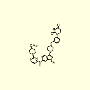 COC1CCN(c2nccc(Nc3cc4c(cn3)c(N3CCN(Cc5cccc(N6CCC(=O)NC6=O)c5)CC3)nn4C(C)C)n2)CC1